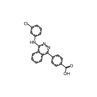 O=C(O)c1ccc(-c2nnc(Nc3cccc(Cl)c3)c3ccccc23)cc1